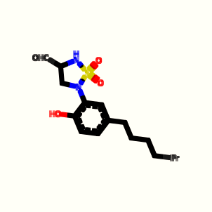 CC(C)CCCCc1ccc(O)c(N2CC(C=O)NS2(=O)=O)c1